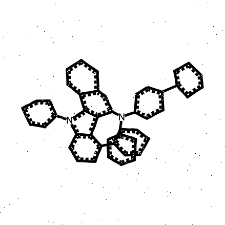 c1ccc(-c2ccc(N(c3ccccc3)c3cc4ccccc4c4c3c3c(-c5ccccc5)cccc3n4-c3ccccc3)cc2)cc1